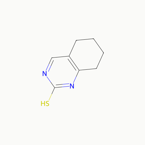 Sc1ncc2c(n1)CCCC2